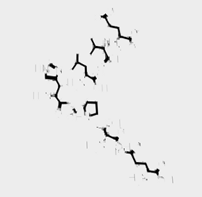 CC(C)C[C@H](N)C(=O)O.CC(C)[C@H](N)C(=O)O.C[C@@H](O)[C@H](N)C(=O)O.N[C@@H](CCC(=O)O)C(=O)O.N[C@@H](CCC(=O)O)C(=O)O.N[C@@H](Cc1c[nH]cn1)C(=O)OC(=O)[C@@H]1CCCN1